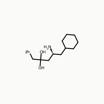 CC(C)CC(O)(O)C[C@@H](N)CC1CCCCC1